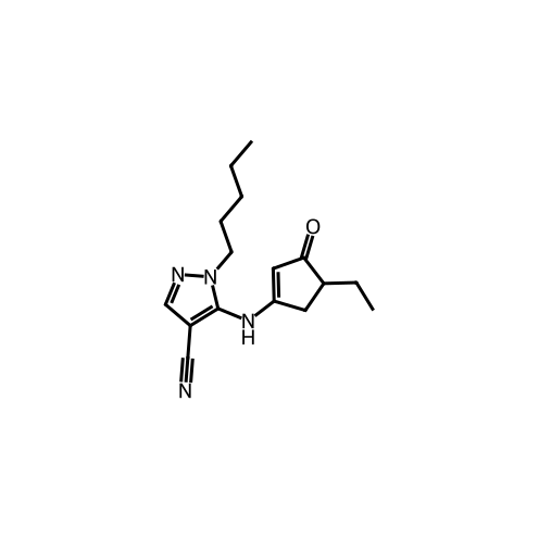 CCCCCn1ncc(C#N)c1NC1=CC(=O)C(CC)C1